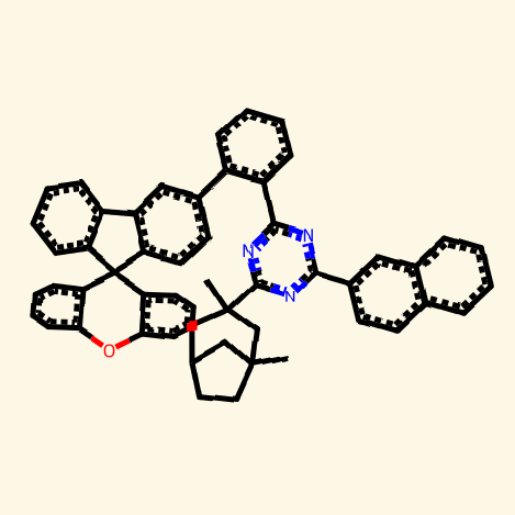 CC12CCC(C1)CC(C)(c1nc(-c3ccc4ccccc4c3)nc(-c3ccccc3-c3ccc4c(c3)-c3ccccc3C43c4ccccc4Oc4ccccc43)n1)C2